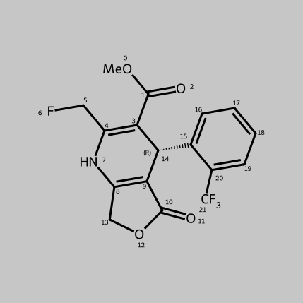 COC(=O)C1=C(CF)NC2=C(C(=O)OC2)[C@H]1c1ccccc1C(F)(F)F